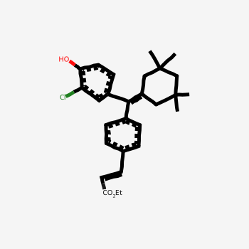 CCOC(=O)C=Cc1ccc(C(=C2CC(C)(C)CC(C)(C)C2)c2ccc(O)c(Cl)c2)cc1